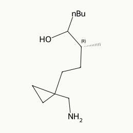 CCCCC(O)[C@H](C)CCC1(CN)CC1